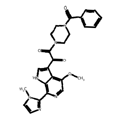 COc1cnc(-c2nccn2C)c2[nH]cc(C(=O)C(=O)N3CCN(C(=O)c4ccccc4)CC3)c12